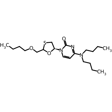 CCCCOCC1O[C@H](n2ccc(N(CCCC)CCCC)nc2=O)CS1